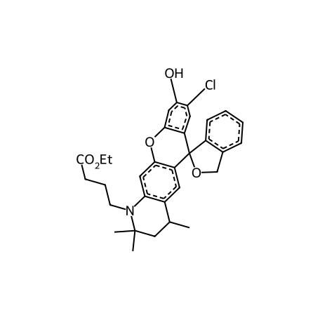 CCOC(=O)CCCN1c2cc3c(cc2C(C)CC1(C)C)C1(OCc2ccccc21)c1cc(Cl)c(O)cc1O3